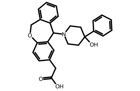 O=C(O)Cc1ccc2c(c1)C(N1CCC(O)(c3ccccc3)CC1)c1ccccc1CO2